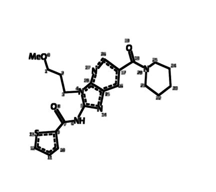 COCCCn1c(NC(=O)c2cccs2)nc2cc(C(=O)N3CCCCC3)cnc21